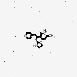 C=C/C=C\C(=C(/C)F)C(Cc1ccncc1)/N=C1/NCCO1